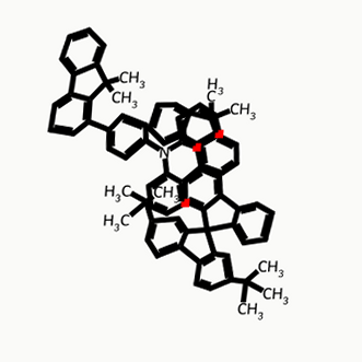 CC(C)(C)c1ccc2c(c1)C1(c3ccccc3-c3cc(-c4ccccc4N(c4ccc(-c5cccc6c5C(C)(C)c5ccccc5-6)cc4)c4ccccc4-c4cccc5c4-c4ccccc4C5(C)C)ccc31)c1cc(C(C)(C)C)ccc1-2